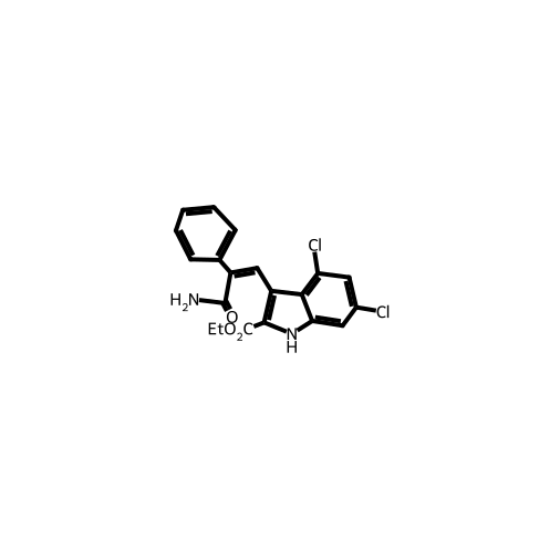 CCOC(=O)c1[nH]c2cc(Cl)cc(Cl)c2c1/C=C(\C(N)=O)c1ccccc1